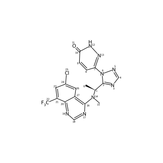 C[C@@H](c1ncnn1-c1ccc(=O)[nH]n1)N(C)c1ncnc2c(C(F)(F)F)cc(Cl)cc12